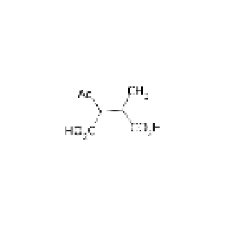 CC(=O)C(C(=O)O)C(C)C(=O)O